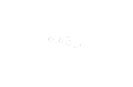 COc1cc(C[C@H]2CCCN2C(=O)OC(C)(C)C)ccc1-c1cc(Nc2cnc(C#N)cn2)n[nH]1